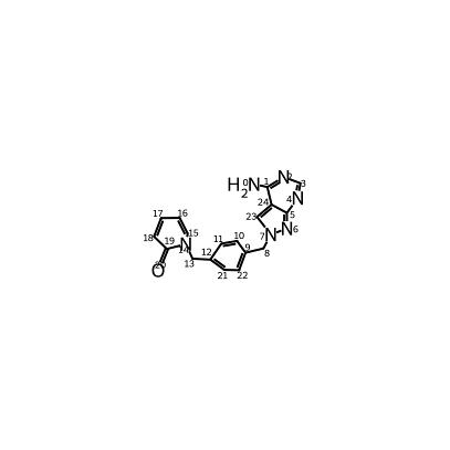 Nc1ncnc2nn(Cc3ccc(Cn4ccccc4=O)cc3)cc12